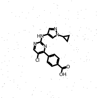 O=C(O)c1ccc(-c2nc(Nc3cnn(C4CC4)c3)ncc2Cl)cc1